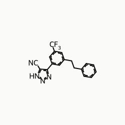 N#Cc1[nH]nnc1-c1cc(CCc2ccccc2)cc(C(F)(F)F)c1